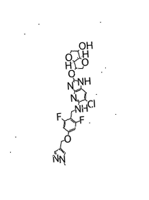 Cn1cc(COc2cc(F)c(CNc3nc4nc(O[C@@H]5CO[C@H]6[C@@H]5OC[C@H]6O)[nH]c4cc3Cl)c(F)c2)cn1